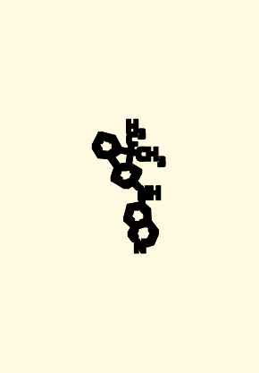 CC1(C)c2ccccc2-c2ccc(Nc3ccc4cnccc4c3)cc21